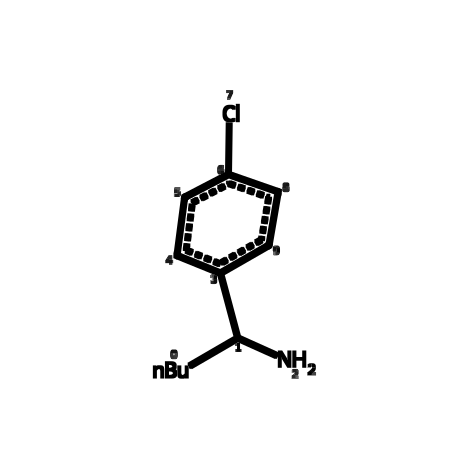 CCCCC(N)c1ccc(Cl)cc1